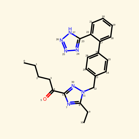 CCCCC(=O)c1nc(CC)n(Cc2ccc(-c3ccccc3-c3nnn[nH]3)cc2)n1